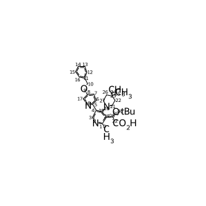 Cc1ncc(-c2ccc(OCc3ccccc3)cn2)c(N2CCC(C)(C)CC2)c1C(OC(C)(C)C)C(=O)O